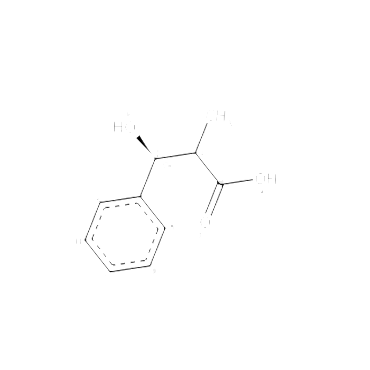 CC(C(=O)O)[C@H](O)c1ccccc1